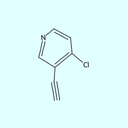 [C]#Cc1cnccc1Cl